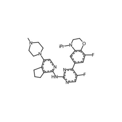 CC(C)N1CCOc2c(F)cc(-c3nc(Nc4ncc(N5CCN(C)CC5)c5c4CCC5)ncc3F)cc21